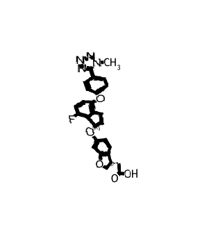 Cn1nnnc1-c1ccc(Oc2ccc(F)c3c2CC[C@H]3Oc2ccc3c(c2)OC[C@H]3CC(=O)O)cc1